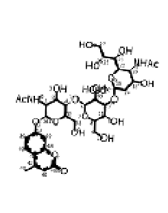 CC(=O)NC1C(O)[C@H](O[C@@H]2OC(CO)[C@H](O)C(O[C@]3(C(=O)O)CC(O)[C@@H](NC(C)=O)C([C@H](O)[C@H](O)CO)O3)C2O)C(CO)O[C@H]1Oc1ccc2c(C)cc(=O)oc2c1